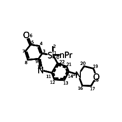 CCC[Si]1(C)C2=CC(=O)C=CC2=Nc2ccc(N3CCOCC3)cc21